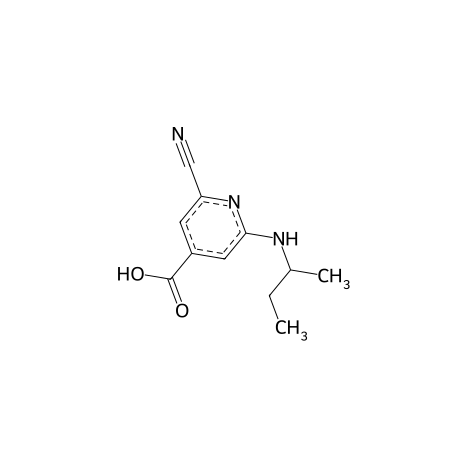 CCC(C)Nc1cc(C(=O)O)cc(C#N)n1